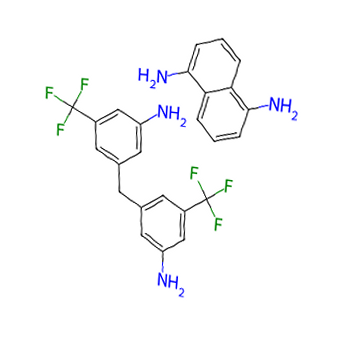 Nc1cc(Cc2cc(N)cc(C(F)(F)F)c2)cc(C(F)(F)F)c1.Nc1cccc2c(N)cccc12